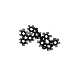 c1ccc2c(c1)sc1nc(-n3c4ccc5oc6ccc7c8ccccc8n8c9cccc3c9c4c5c6c78)nc(-c3ccc4c5ccccc5c5ccccc5c4c3)c12